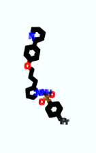 CC(C)c1ccc(S(=O)(=O)NN2CCCC2CCCOc2ccc(-c3ccccn3)cc2)cc1